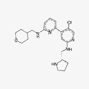 Clc1cnc(NC[C@@H]2CCCN2)cc1-c1cccc(NCC2CCOCC2)n1